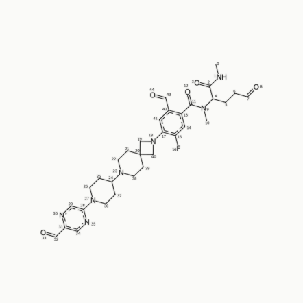 CNC(=O)C(CCC=O)N(C)C(=O)c1cc(F)c(N2CC3(CCN(C4CCN(c5cnc(C=O)cn5)CC4)CC3)C2)cc1C=O